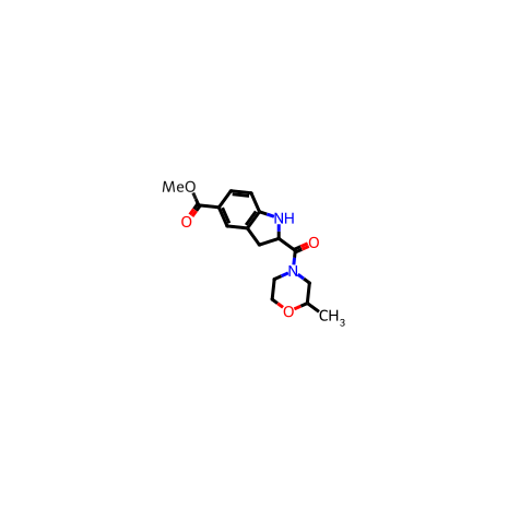 COC(=O)c1ccc2c(c1)CC(C(=O)N1CCOC(C)C1)N2